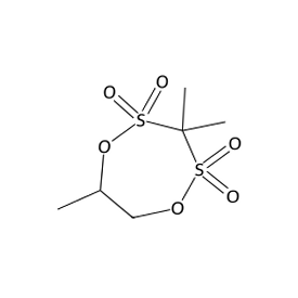 CC1COS(=O)(=O)C(C)(C)S(=O)(=O)O1